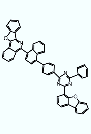 c1ccc(-c2nc(-c3ccc(-c4ccc(-c5nc6c7ccccc7oc6c6ccccc56)c5ccccc45)cc3)nc(-c3cccc4c3oc3ccccc34)n2)cc1